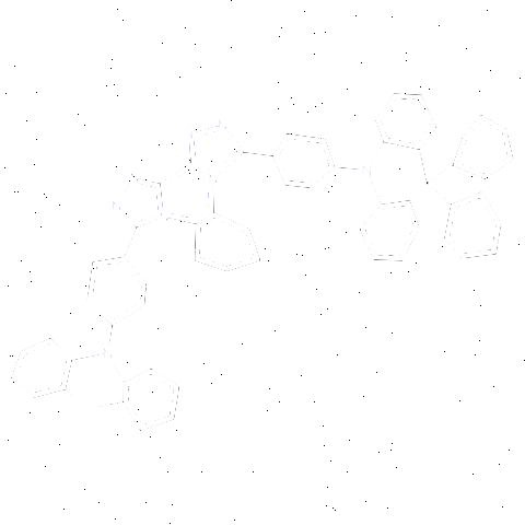 c1ccc(C2(c3ccccc3)c3ccccc3N(c3ccc(-c4nnc5c6nnc(-c7ccc(N8c9ccccc9Sc9ccccc98)cc7)n6c6ccccc6n45)cc3)c3ccccc32)cc1